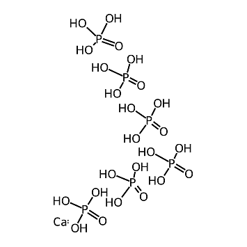 O=P(O)(O)O.O=P(O)(O)O.O=P(O)(O)O.O=P(O)(O)O.O=P(O)(O)O.O=P(O)(O)O.[Ca]